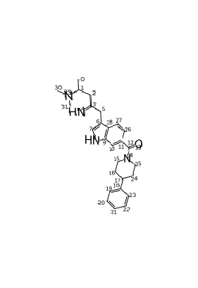 CC(CC(=N)Cc1c[nH]c2cc(C(=O)N3CCC(c4ccccc4)CC3)ccc12)N(C)C